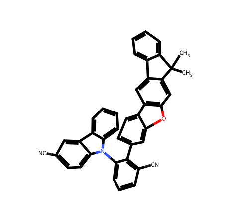 CC1(C)c2ccccc2-c2cc3c(cc21)oc1cc(-c2c(C#N)cccc2-n2c4ccccc4c4cc(C#N)ccc42)ccc13